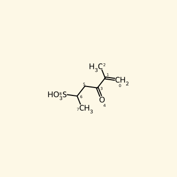 C=C(C)C(=O)CC(C)S(=O)(=O)O